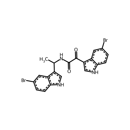 CC(NC(=O)C(=O)c1c[nH]c2ccc(Br)cc12)c1c[nH]c2ccc(Br)cc12